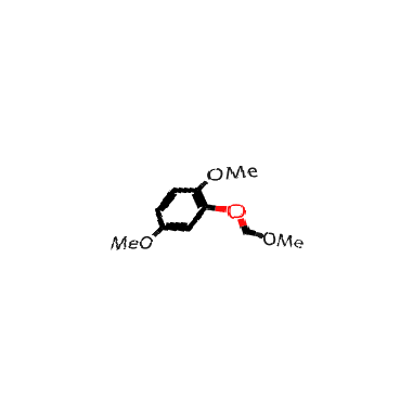 COCOc1cc(OC)ccc1OC